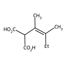 CCC(C)=C(C)C(C(=O)O)C(=O)O